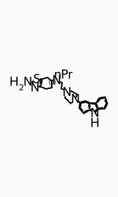 CCCN(CCN1CCN(c2ccc3[nH]c4ccccc4c3c2)CC1)[C@H]1CCc2nc(N)sc2C1